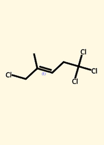 C/C(=C\CC(Cl)(Cl)Cl)CCl